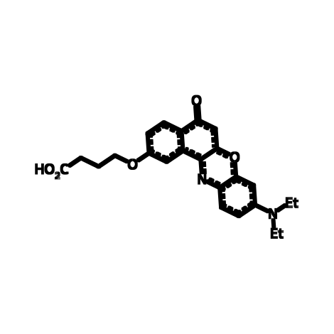 CCN(CC)c1ccc2nc3c4cc(OCCCC(=O)O)ccc4c(=O)cc-3oc2c1